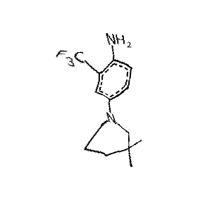 CC1(C)CCCN(c2ccc(N)c(C(F)(F)F)c2)C1